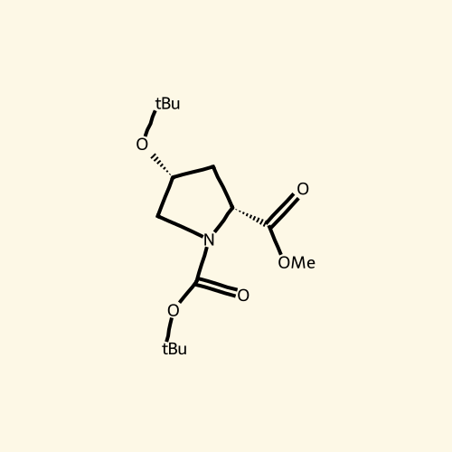 COC(=O)[C@H]1C[C@@H](OC(C)(C)C)CN1C(=O)OC(C)(C)C